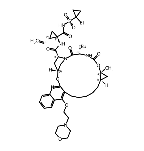 C=C[C@@H]1C[C@]1(NC(=O)[C@@H]1C[C@@H]2CN1C(=O)[C@H](C(C)(C)C)NC(=O)O[C@]1(C)C[C@H]1CCCCCc1c(nc3ccccc3c1OCCN1CCOCC1)O2)C(=O)NS(=O)(=O)C1(CC)CC1